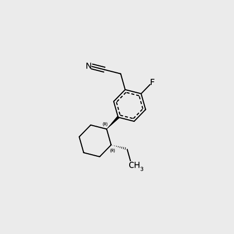 CC[C@@H]1CCCC[C@H]1c1ccc(F)c(CC#N)c1